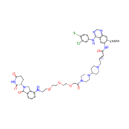 COc1cc2ncnc(Nc3ccc(F)c(Cl)c3)c2cc1NC(=O)/C=C/CN1CCC(N2CCN(C(=O)COCCOCCOCCNc3cccc4c3CN(C3CCC(=O)NC3=O)C4=O)CC2)CC1